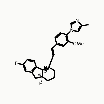 COc1cc(C=CC2=NOC34c5ccc(F)cc5C[C@@H]3CCCN24)ccc1-n1cnc(C)c1